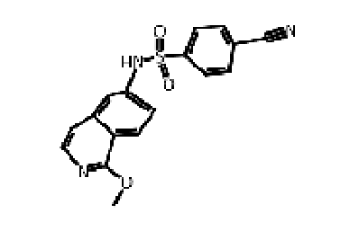 COc1nccc2cc(NS(=O)(=O)c3ccc(C#N)cc3)ccc12